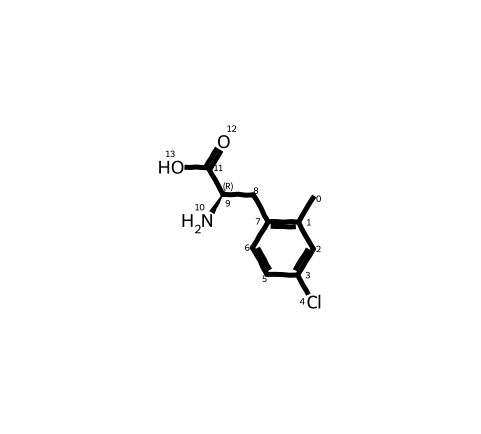 Cc1cc(Cl)ccc1C[C@@H](N)C(=O)O